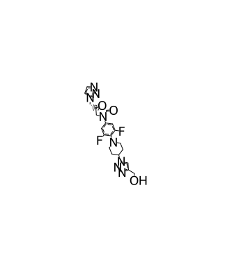 O=C1O[C@@H](Cn2ccnn2)CN1c1cc(F)c(N2CCC(n3cc(CO)nn3)CC2)c(F)c1